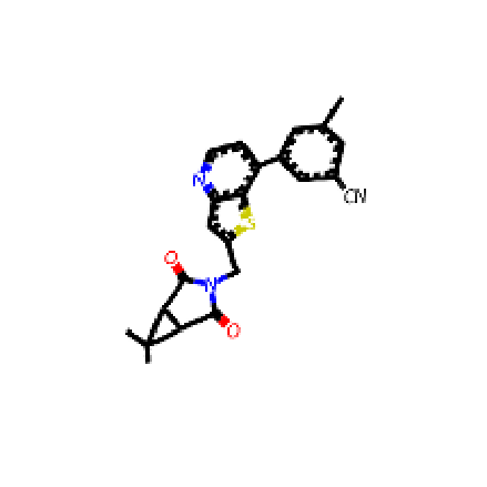 Cc1cc(C#N)cc(-c2ccnc3cc(CN4C(=O)C5C(C4=O)C5(C)C)sc23)c1